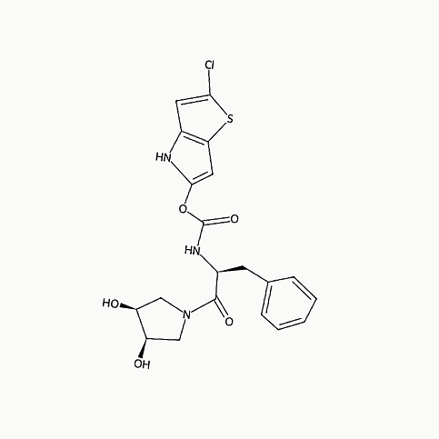 O=C(N[C@@H](Cc1ccccc1)C(=O)N1C[C@@H](O)[C@@H](O)C1)Oc1cc2sc(Cl)cc2[nH]1